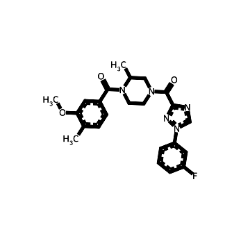 COc1cc(C(=O)N2CCN(C(=O)c3ncn(-c4cccc(F)c4)n3)CC2C)ccc1C